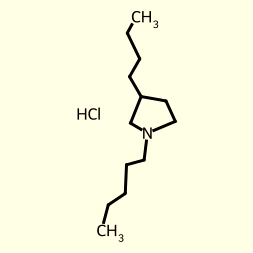 CCCCCN1CCC(CCCC)C1.Cl